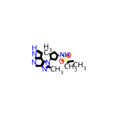 CCC(C)S(=O)(=O)N[C@H]1C[C@@H](C)[C@@H](n2c(C)nc3cnc4[nH]ccc4c32)C1